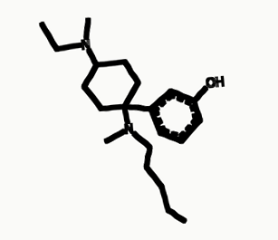 CCCCCN(C)C1(c2cccc(O)c2)CCC(N(C)CC)CC1